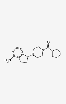 Nc1cccc2c1CCC2N1CCN(C(=O)C2CCCC2)CC1